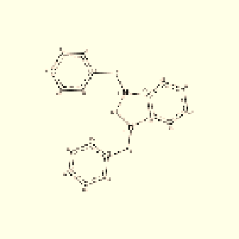 c1ccc(CN2CN(Cc3ccccc3)c3ccccc32)cc1